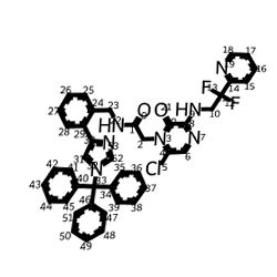 O=C(Cn1c(Cl)cnc(NCC(F)(F)c2ccccn2)c1=O)NCc1ccccc1-c1cn(C(c2ccccc2)(c2ccccc2)c2ccccc2)cn1